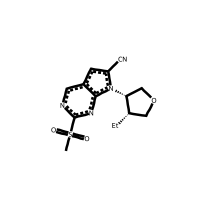 CC[C@H]1COC[C@H]1n1c(C#N)cc2cnc(S(C)(=O)=O)nc21